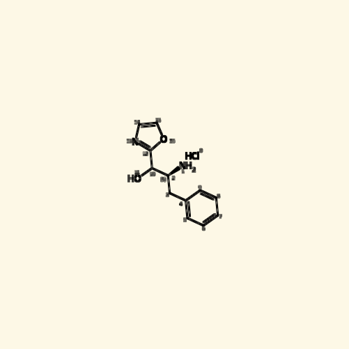 Cl.N[C@@H](Cc1ccccc1)C(O)c1ncco1